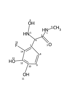 CNC(=O)C(NO)c1ccc(O)c(O)c1F